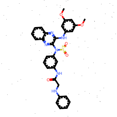 COc1cc(Nc2nc3ccccc3nc2N(c2cccc(NC(=O)CNc3ccccc3)c2)[SH](=O)=O)cc(OC)c1